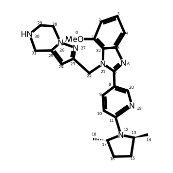 COc1cccc2nc(-c3ccc(N4[C@@H](C)CC[C@@H]4C)nc3)n(Cc3cc4n(n3)CCNC4)c12